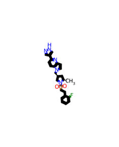 C[C@H]1C[C@H](Cn2ccc3nc(-c4cn[nH]c4)ccc32)CN1S(=O)(=O)CCc1ccccc1F